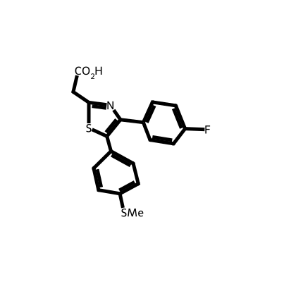 CSc1ccc(-c2sc(CC(=O)O)nc2-c2ccc(F)cc2)cc1